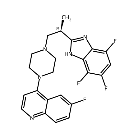 C[C@H](CN1CCN(c2ccnc3ccc(F)cc23)CC1)c1nc2c(F)cc(F)c(F)c2[nH]1